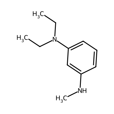 CCN(CC)c1cccc(NC)c1